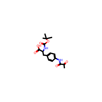 CC(=O)C(=O)Nc1ccc(CC(NC(=O)OC(C)(C)C)C(=O)O)cc1